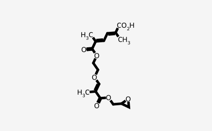 CC(=CC=C(C)C(=O)OCCOC=C(C)C(=O)OCC1CO1)C(=O)O